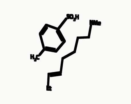 CCC=CCCCCNC.Cc1ccc(S(=O)(=O)O)cc1